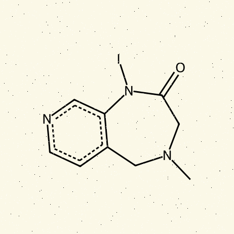 CN1CC(=O)N(I)c2cnccc2C1